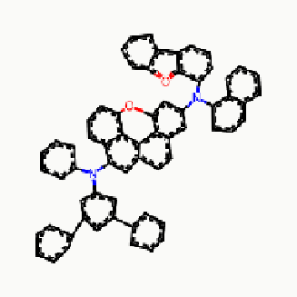 c1ccc(-c2cc(-c3ccccc3)cc(N(c3ccccc3)c3cc4ccc5cc(N(c6cccc7ccccc67)c6cccc7c6oc6ccccc67)cc6c5c4c4c(cccc34)O6)c2)cc1